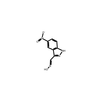 O=[N+]([O-])c1ccc2[nH]nc(/C=N/O)c2c1